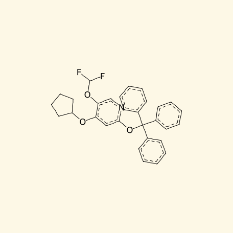 FC(F)Oc1cnc(OC(c2ccccc2)(c2ccccc2)c2ccccc2)cc1OC1CCCC1